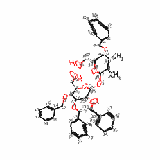 C[C@@H]1[C@@H](C)[C@@H](O[C@H]2O[C@H](CO)[C@@H](OCc3ccccc3)[C@H](OCc3ccccc3)[C@H]2OCc2ccccc2)O[C@H](CO)[C@H]1OCc1ccccc1